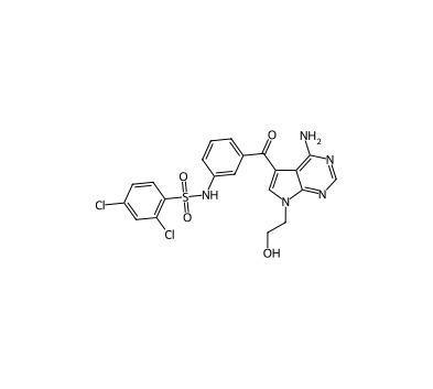 Nc1ncnc2c1c(C(=O)c1cccc(NS(=O)(=O)c3ccc(Cl)cc3Cl)c1)cn2CCO